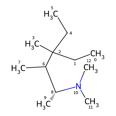 CCC(C)(CC)C(C)[C@@H](C)N(C)C